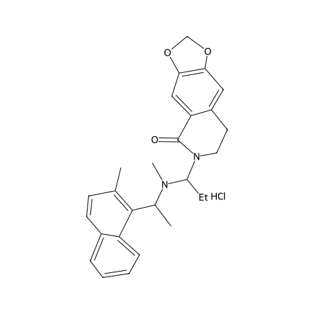 CCC(N1CCc2cc3c(cc2C1=O)OCO3)N(C)C(C)c1c(C)ccc2ccccc12.Cl